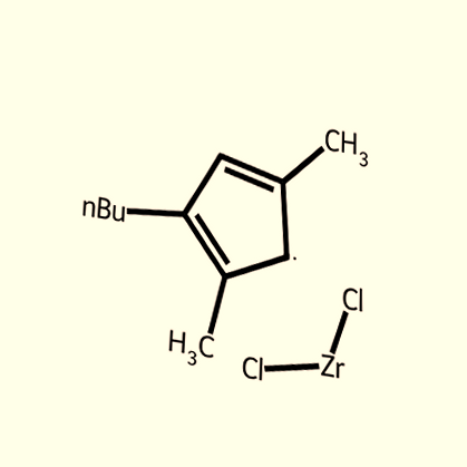 CCCCC1=C(C)[CH]C(C)=C1.[Cl][Zr][Cl]